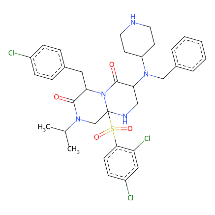 CC(C)N1CC2(S(=O)(=O)c3ccc(Cl)cc3Cl)NCC(N(Cc3ccccc3)C3CCNCC3)C(=O)N2C(Cc2ccc(Cl)cc2)C1=O